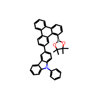 CC1(C)OB(c2cccc3c4ccccc4c4ccc(-c5ccc6c(c5)c5ccccc5n6-c5ccccc5)cc4c23)OC1(C)C